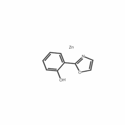 Oc1ccccc1-c1ncco1.[Zn]